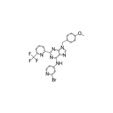 COc1ccc(Cn2cnc3c(Nc4ccnc(Br)c4)nc(-c4cccc(C(F)(F)F)n4)nc32)cc1